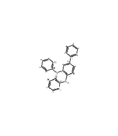 [c]1c(-c2ccccc2)ccc(Sc2ccccc2)c1Sc1ccccc1